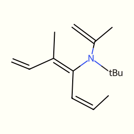 C=C/C(C)=C(\C=C/C)N(C(=C)C)C(C)(C)C